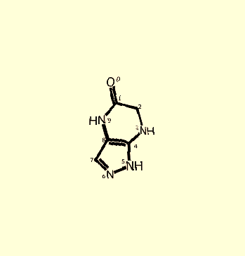 O=C1CNc2[nH]ncc2N1